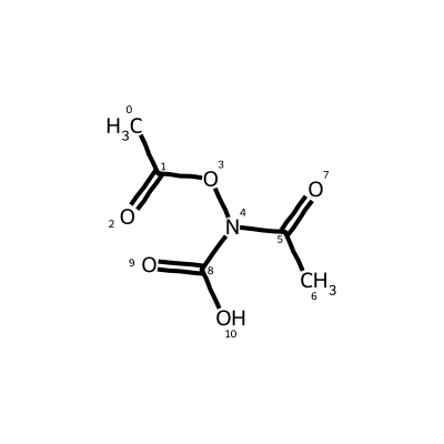 CC(=O)ON(C(C)=O)C(=O)O